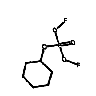 O=P(OF)(OF)OC1CCCCC1